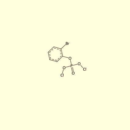 O=P(OCl)(OCl)Oc1ccccc1Br